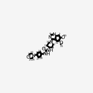 COc1cc2ncnc(N3CCC(NC(=O)Nc4ccc(N5CCOCC5)cc4)CC3)c2cc1OC